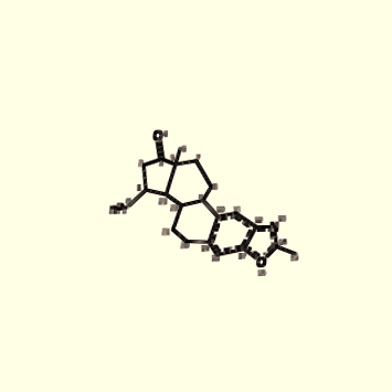 CCCC1CC(=O)C2(C)CCC3c4cc5nc(C)oc5cc4CCC3C12